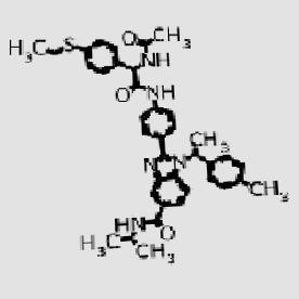 CCSc1ccc(C(NC(C)=O)C(=O)Nc2ccc(-c3nc4cc(C(=O)NC(C)C)ccc4n3C(C)c3ccc(C)cc3)cc2)cc1